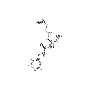 COCCOC[C@@H](CO)NC(=O)OCc1ccccc1